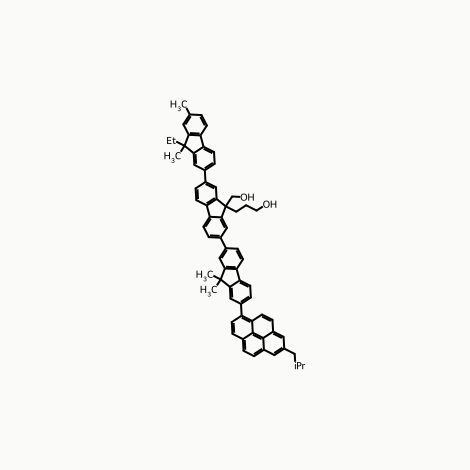 CCC1(C)c2cc(C)ccc2-c2ccc(-c3ccc4c(c3)C(CO)(CCCO)c3cc(-c5ccc6c(c5)C(C)(C)c5cc(-c7ccc8ccc9cc(CC(C)C)cc%10ccc7c8c9%10)ccc5-6)ccc3-4)cc21